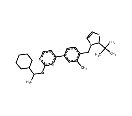 Cc1cc(-c2ccnc(NC(C)C3CCCCC3)n2)ccc1CN1C=CSC1C(C)(C)C